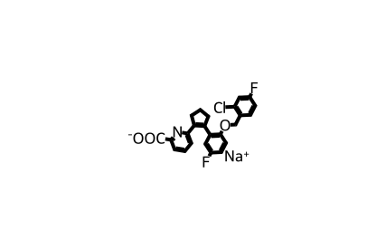 O=C([O-])c1cccc(C2=C(c3cc(F)ccc3OCc3ccc(F)cc3Cl)CCC2)n1.[Na+]